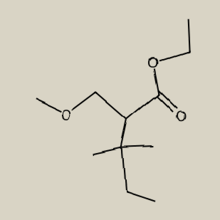 CCOC(=O)C(COC)C(C)(C)CC